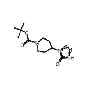 CC(C)(C)OC(=O)N1CCC(n2cn[nH]c2=O)CC1